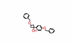 OC1(c2ccc(OCc3ccccc3)cc2)CC(OCc2ccccc2)C1